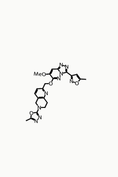 COc1cc2nnc(-c3cc(C)on3)n2nc1OCc1ccc2c(n1)CCN(c1nnc(C)o1)C2